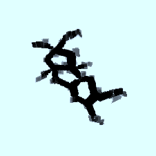 C=C1N=C2O[C@H]3C[C@@](CCCC)(CCCCC)C[C@H]3N2C=C1C